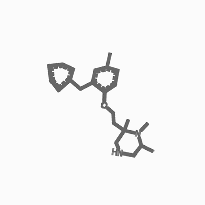 Cc1ccc(OCCC2(C)CNCC(C)N2C)c(Cc2ccccc2)c1